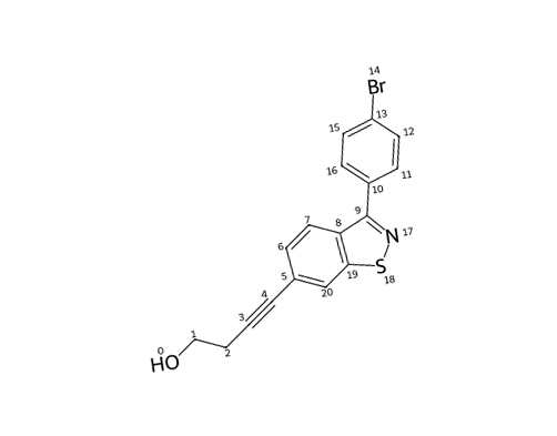 OCCC#Cc1ccc2c(-c3ccc(Br)cc3)nsc2c1